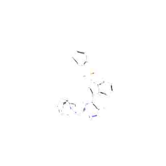 O=S(=O)(c1ccccc1)n1cc(-c2nc(N[C@@H]3CN4CCC3CC4)ncc2Cl)c2ccccc21